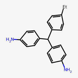 CCc1ccc(C(c2ccc(N)cc2)c2ccc(N)cc2)cc1